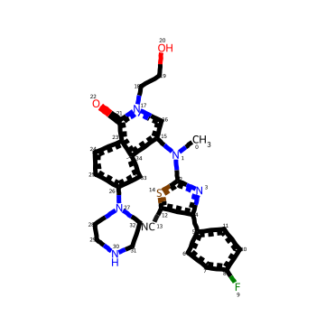 CN(c1nc(-c2ccc(F)cc2)c(C#N)s1)c1cn(CCO)c(=O)c2ccc(N3CCNCC3)cc12